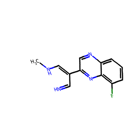 CN/C=C(\C=N)c1cnc2cccc(F)c2n1